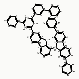 c1ccc(-c2cccc(-c3nc(-c4ccccc4)nc(-c4ccc5c(c4)oc4c(-n6c7cc(-c8ccccc8)ccc7c7ccc(-c8ccccc8)cc76)cccc45)n3)c2)cc1